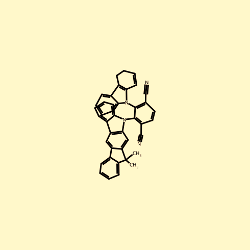 CC1(C)c2ccccc2-c2cc3c4ccccc4n(-c4c(C#N)ccc(C#N)c4-n4c5c(c6ccccc64)CCC=C5)c3cc21